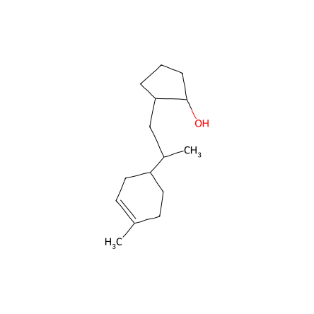 CC1=CCC(C(C)CC2CCCC2O)CC1